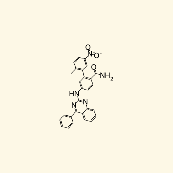 Cc1ccc([N+](=O)[O-])cc1-c1cc(Nc2nc(-c3ccccc3)c3ccccc3n2)ccc1C(N)=O